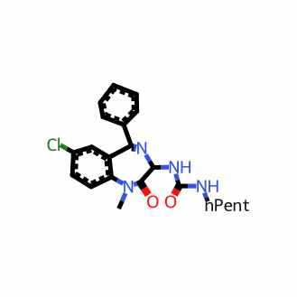 CCCCCNC(=O)NC1N=C(c2ccccc2)c2cc(Cl)ccc2N(C)C1=O